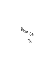 [Sb].[Se].[Se].[Se]